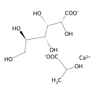 CC(O)C(=O)[O-].O=C([O-])[C@H](O)[C@@H](O)[C@H](O)[C@H](O)CO.[Ca+2]